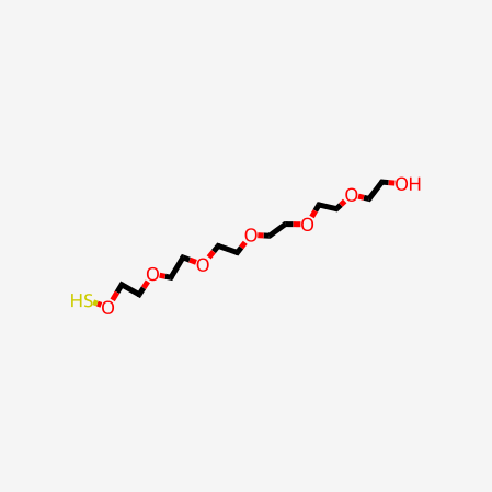 OCCOCCOCCOCCOCCOCCOS